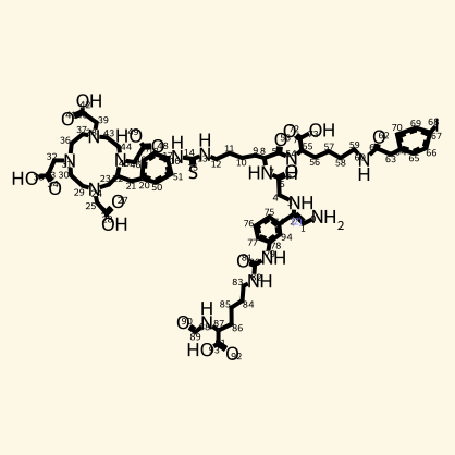 N/C=C(\NCC(=O)NC(CCCCNC(=S)Nc1ccc(CC2CN(CC(=O)O)CCN(CC(=O)O)CCN(CC(=O)O)CCN2CC(=O)O)cc1)C(=O)NC(CCCCNC(=O)Cc1ccc(I)cc1)C(=O)O)c1cccc(NC(=O)NCCCCC(NC=O)C(=O)O)c1